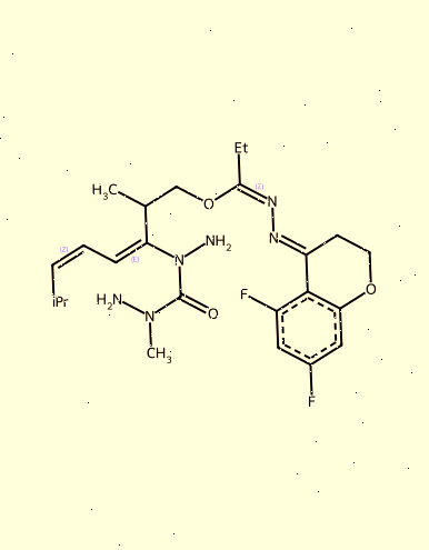 CC/C(=N/N=C1CCOc2cc(F)cc(F)c21)OCC(C)/C(=C\C=C/C(C)C)N(N)C(=O)N(C)N